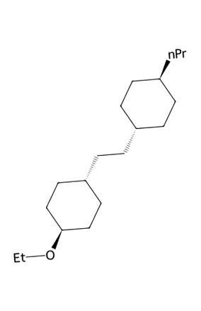 CCC[C@H]1CC[C@H](CC[C@H]2CC[C@H](OCC)CC2)CC1